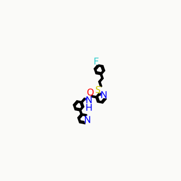 O=C(NCc1cccc(-c2cccnc2)c1)c1cccnc1SCCCc1ccc(F)cc1